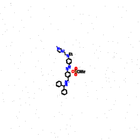 CCN(CC[n+]1ccn(C)c1)c1ccc(/N=N/c2ccc(/C=N/N=C(c3ccccc3)c3ccccc3)cc2)cc1.COS(=O)(=O)[O-]